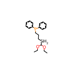 CCOC(OCC)[SiH2]CCCP(c1ccccc1)c1ccccc1